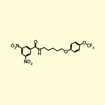 O=C(NCCCCCOc1ccc(OC(F)(F)F)cc1)c1cc([N+](=O)[O-])cc([N+](=O)[O-])c1